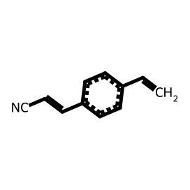 C=Cc1ccc(C=CC#N)cc1